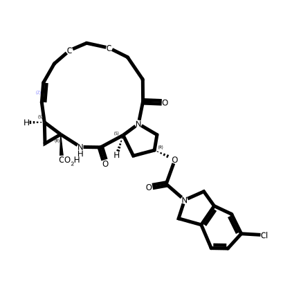 O=C1N[C@]2(C(=O)O)C[C@H]2/C=C\CCCCCCC(=O)N2C[C@H](OC(=O)N3Cc4ccc(Cl)cc4C3)C[C@@H]12